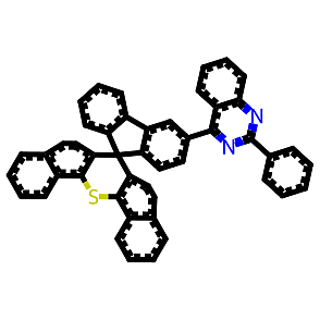 c1ccc(-c2nc(-c3ccc4c(c3)-c3ccccc3C43c4ccc5ccccc5c4Sc4c3ccc3ccccc43)c3ccccc3n2)cc1